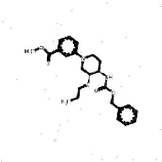 CCCO[C@H]1CN(c2cccc(C(=O)OC)c2)CC[C@H]1NC(=O)OCc1ccccc1